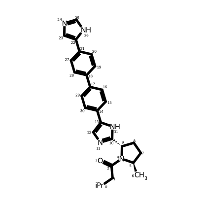 CC(C)CC(=O)N1[C@H](C)CC[C@H]1c1ncc(-c2ccc(-c3ccc(-c4cnc[nH]4)cc3)cc2)[nH]1